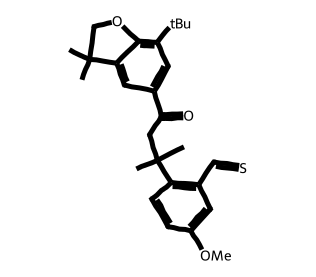 COc1ccc(C(C)(C)CC(=O)c2cc(C(C)(C)C)c3c(c2)C(C)(C)CO3)c(C=S)c1